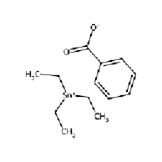 C[CH2][Sn+]([CH2]C)[CH2]C.O=C([O-])c1ccccc1